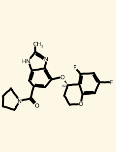 Cc1nc2c(O[C@H]3CCOc4cc(F)cc(F)c43)cc(C(=O)N3CCCC3)cc2[nH]1